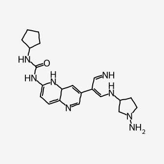 N=C/C(=C\NC1CCN(N)C1)C1=CC2NC(NC(=O)NC3CCCC3)=CC=C2N=C1